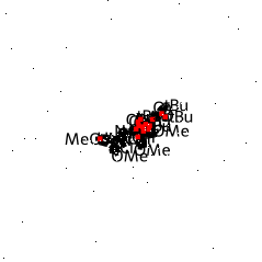 COc1ccc(C(Nc2nc(Cl)nc3c2ncn3[C@@H]2C[C@H](N(C(=O)OC(C)(C)C)C(=O)OC(C)(C)C)[C@@](O)(N(c3nc(Cl)nc4c3ncn4C3C=C[C@@H](N(C(=O)OC(C)(C)C)C(=O)OC(C)(C)C)C3)C(c3ccc(OC)cc3)c3ccc(OC)cc3)[C@H]2O)c2ccc(OC)cc2)cc1